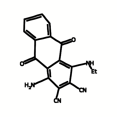 CCNc1c(C#N)c(C#N)c(N)c2c1C(=O)c1ccccc1C2=O